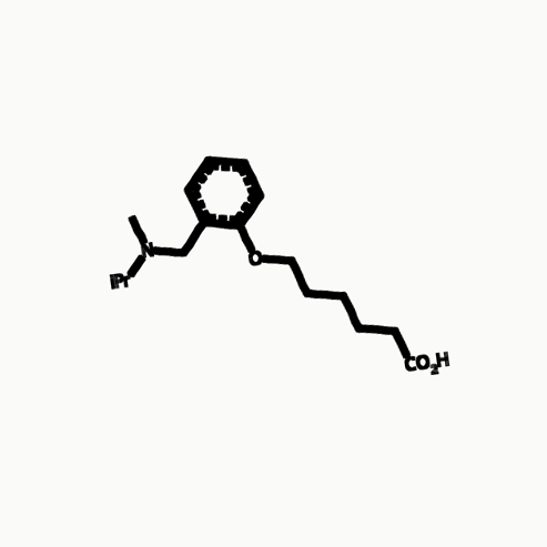 CC(C)N(C)Cc1ccccc1OCCCCCC(=O)O